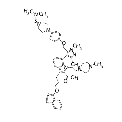 Cc1nn(C)c(COc2ccc(N3CCN(SN(C)C)CC3)cc2)c1-c1cccc2c(CCCOc3cccc4ccccc34)c(C(=O)O)n(CCN3CCN(C)CC3)c12